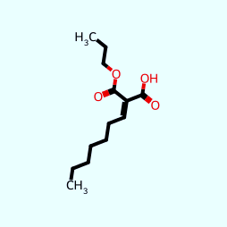 CCCCCCC=C(C(=O)O)C(=O)OCCC